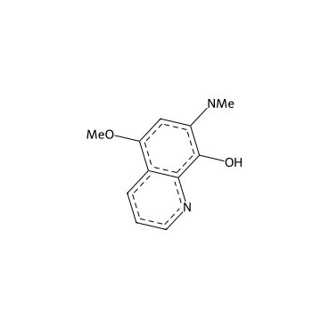 CNc1cc(OC)c2cccnc2c1O